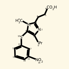 CC(C)c1nc(CCC(=O)O)n(C)c1Sc1cccc([N+](=O)[O-])c1